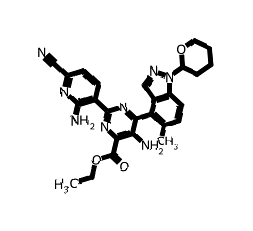 CCOC(=O)c1nc(-c2ccc(C#N)nc2N)nc(-c2c(C)ccc3c2cnn3C2CCCCO2)c1N